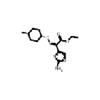 CCOC(=O)C(=NO[C@H]1CC[C@H](C)CC1)c1csc(N)n1